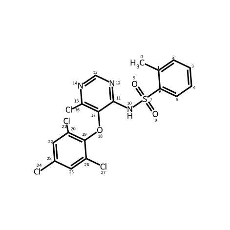 Cc1ccccc1S(=O)(=O)Nc1ncnc(Cl)c1Oc1c(Cl)cc(Cl)cc1Cl